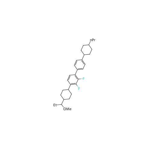 CCCC1CCC(c2ccc(-c3ccc(C4CCC(C(CC)OC)CC4)c(F)c3F)cc2)CC1